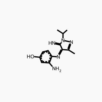 CC1=NN(C(C)C)C(=N)C1=Nc1ccc(O)cc1N